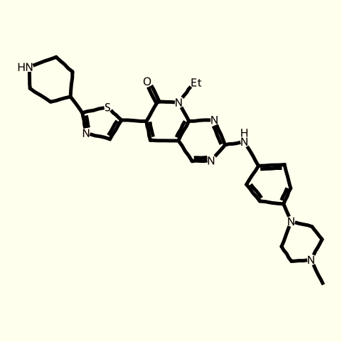 CCn1c(=O)c(-c2cnc(C3CCNCC3)s2)cc2cnc(Nc3ccc(N4CCN(C)CC4)cc3)nc21